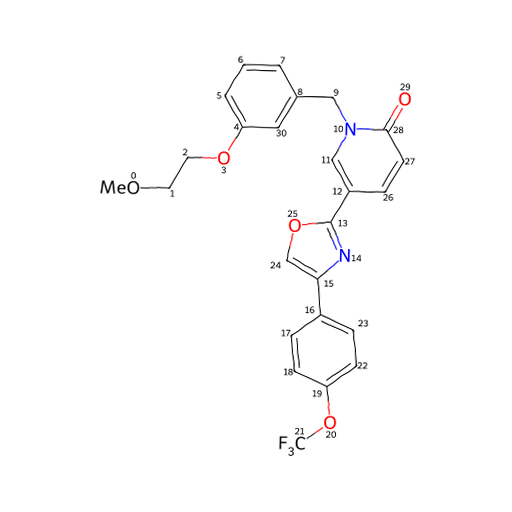 COCCOc1cccc(Cn2cc(-c3nc(-c4ccc(OC(F)(F)F)cc4)co3)ccc2=O)c1